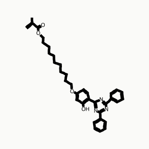 C=C(C)C(=O)OCCCCCCCCCCCOc1ccc(-c2nc(-c3ccccc3)nc(-c3ccccc3)n2)c(O)c1